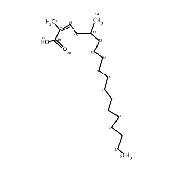 CCCCCCCCCCCCCC(C)CC=C(C)C(=O)O